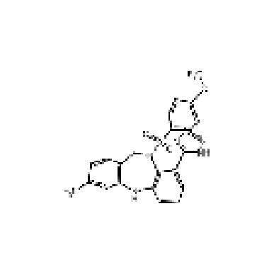 O=S(=O)(c1ccc(OC(F)(F)F)cc1)N1Cc2ccc(C(F)(F)F)nc2Nc2cccc(-c3nnn[nH]3)c21